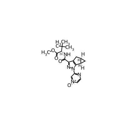 COC(=O)[C@@H](NC(=O)c1nn(-c2c[n+]([O-])ccn2)c2c1C[C@H]1C[C@@H]21)C(C)(C)C